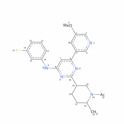 COc1cncc(-c2cc(Nc3cccc(F)c3)nc(C3CCC(C)N(C(C)=O)C3)n2)c1